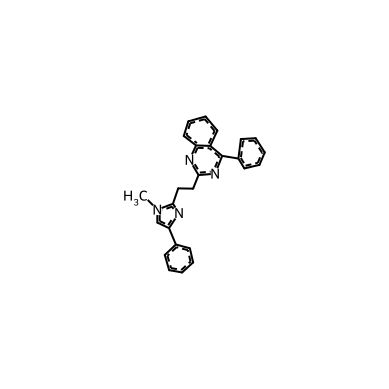 Cn1cc(-c2ccccc2)nc1CCc1nc(-c2ccccc2)c2ccccc2n1